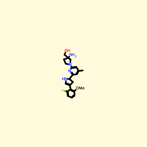 COc1cccc(F)c1C1=CNC(c2cc(C)cc(N3CCC(N)(CO)C3)n2)C1